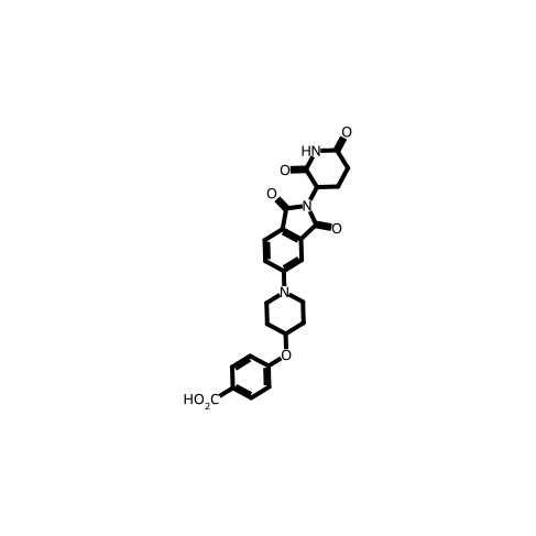 O=C1CCC(N2C(=O)c3ccc(N4CCC(Oc5ccc(C(=O)O)cc5)CC4)cc3C2=O)C(=O)N1